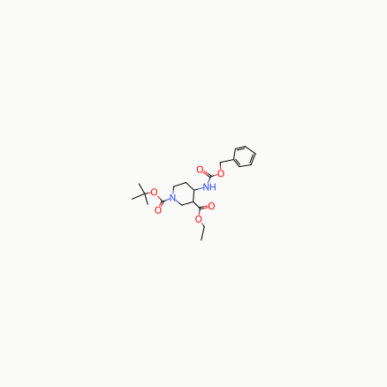 CCOC(=O)C1CN(C(=O)OC(C)(C)C)CCC1NC(=O)OCc1ccccc1